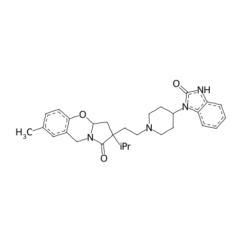 Cc1ccc2c(c1)CN1C(=O)C(CCN3CCC(n4c(=O)[nH]c5ccccc54)CC3)(C(C)C)CC1O2